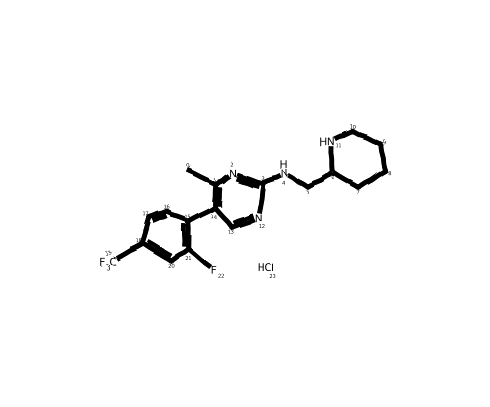 Cc1nc(NCC2CCCCN2)ncc1-c1ccc(C(F)(F)F)cc1F.Cl